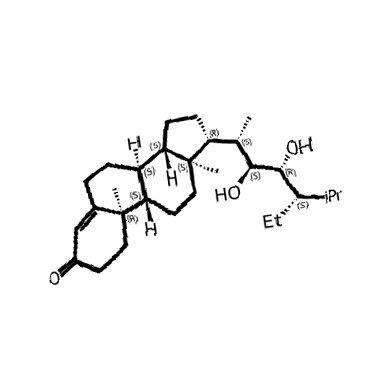 CC[C@@H](C(C)C)[C@@H](O)[C@@H](O)[C@@H](C)[C@H]1CC[C@H]2[C@@H]3CCC4=CC(=O)CC[C@]4(C)[C@H]3CC[C@]12C